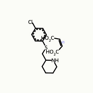 Clc1ccc(SCC2CCCCN2)cc1.O=C(O)/C=C\C(=O)O